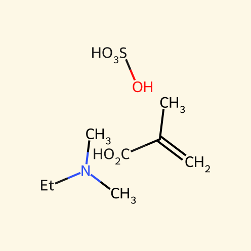 C=C(C)C(=O)O.CCN(C)C.O=S(=O)(O)O